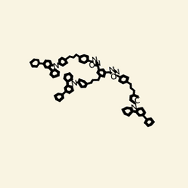 C1=CCC(c2ccc3c(c2)c2ccccc2n3-c2ccc(CCCc3ccc(-c4nnc(-c5cc(CCCc6ccc(-n7c8ccccc8c8cc(-c9ccccc9)ccc87)cc6)cc(-c6nnc(-c7ccc(CCCc8ccc(-n9c%10ccccc%10c%10cc(-c%11ccccc%11)ccc%109)cc8)cc7)o6)c5)o4)cc3)cc2)C=C1